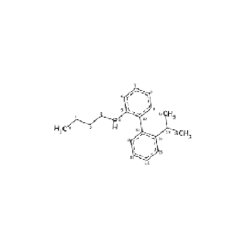 CCCCPc1ccccc1-c1ccccc1C(C)C